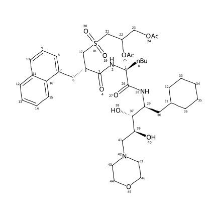 CCCC[C@H](NC(=O)[C@H](Cc1cccc2ccccc12)CS(=O)(=O)CC(COC(C)=O)OC(C)=O)C(=O)N[C@@H](CC1CCCCC1)[C@@H](O)[C@@H](O)CN1CCOCC1